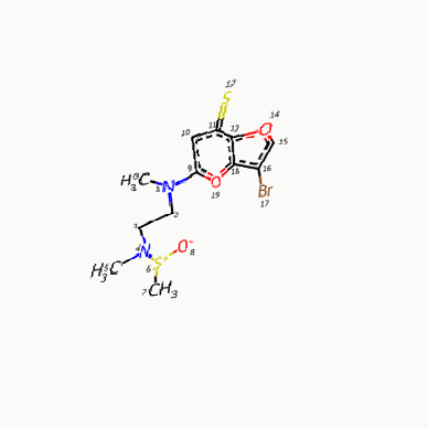 CN(CCN(C)[S+](C)[O-])c1cc(=S)c2occ(Br)c2o1